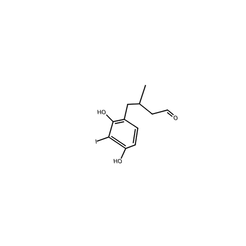 CC(CC=O)Cc1ccc(O)c(I)c1O